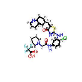 O=C(CN1CCCCC1)Nc1ccc(Cl)c(NC2=NC(=O)C(=Cc3ccc4ncccc4c3)S2)c1.O=C(O)C(F)(F)F